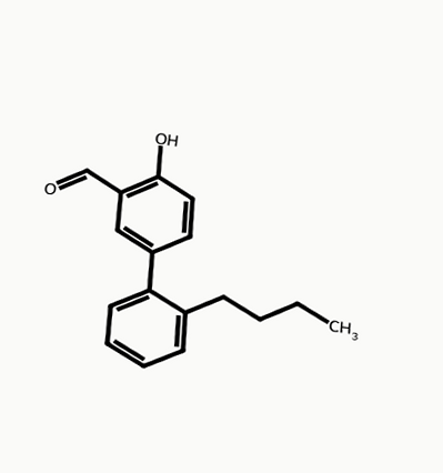 CCCCc1ccccc1-c1ccc(O)c(C=O)c1